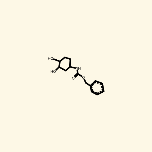 O=C(NC1CCC(O)C(O)C1)OCc1ccccc1